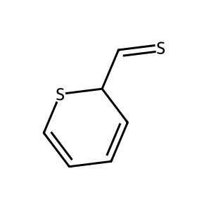 S=CC1C=CC=CS1